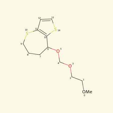 COCCOCOC1CCCSc2ccsc21